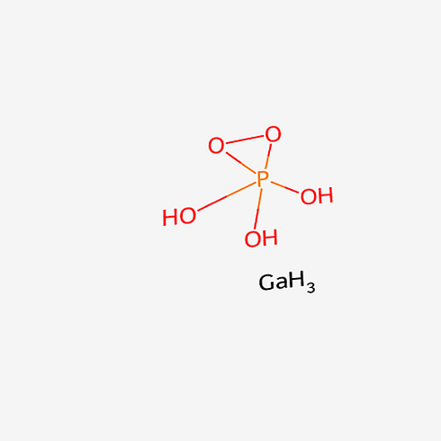 OP1(O)(O)OO1.[GaH3]